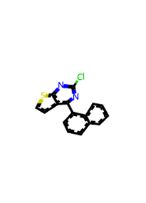 Clc1nc(-c2cccc3ccccc23)c2ccsc2n1